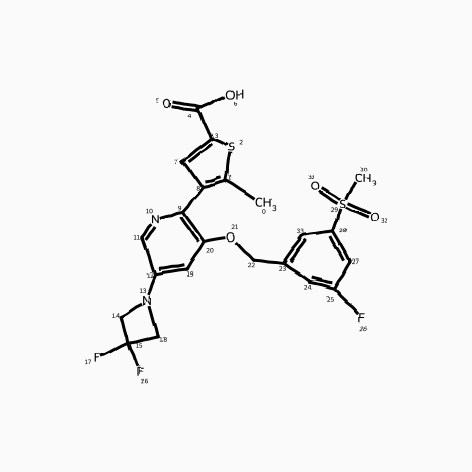 Cc1sc(C(=O)O)cc1-c1ncc(N2CC(F)(F)C2)cc1OCc1cc(F)cc(S(C)(=O)=O)c1